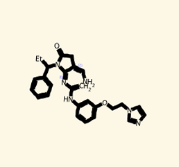 C=C(/N=C1\C(=C/N)CC(=O)N1C(CC)c1ccccc1)Nc1cccc(OCCn2ccnc2)c1